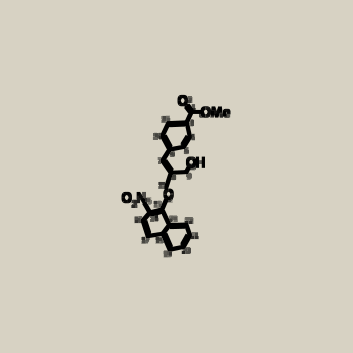 COC(=O)c1ccc(C=C(CO)COc2c([N+](=O)[O-])ccc3ccccc23)cc1